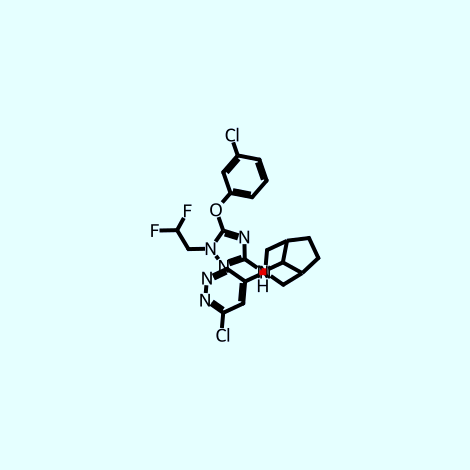 FC(F)Cn1nc(NC2C3CCC2CN(c2cnnc(Cl)c2)C3)nc1Oc1cccc(Cl)c1